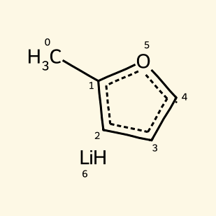 Cc1cc[c]o1.[LiH]